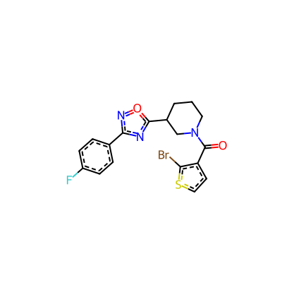 O=C(c1ccsc1Br)N1CCCC(c2nc(-c3ccc(F)cc3)no2)C1